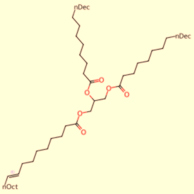 CCCCCCCC/C=C/CCCCCCCC(=O)OCC(COC(=O)CCCCCCCCCCCCCCCCC)OC(=O)CCCCCCCCCCCCCCCCC